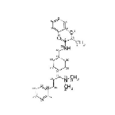 CC(Oc1ccccc1)C(=O)NCC1CCC(C(CCc2ccccc2)N(C)C)CC1